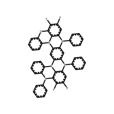 Fc1cc2c3c(c1F)Oc1ccccc1B3c1cc3c(cc1N2c1ccccc1)N(c1ccccc1)c1cc(F)c(F)c2c1B3c1ccccc1N2c1ccccc1